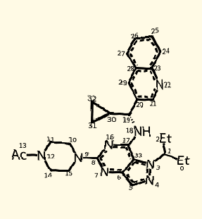 CCC(CC)n1ncc2nc(N3CCN(C(C)=O)CC3)nc(N[C@@H](c3cnc4ccccc4c3)C3CC3)c21